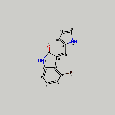 O=C1Nc2cccc(Br)c2/C1=C/c1ccc[nH]1